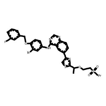 CC(OCCS(=O)(=O)C(C)C)c1nc(-c2ccc3ncnc(Nc4ccc(OCc5cccc(F)c5)c(Br)c4)c3c2)cs1